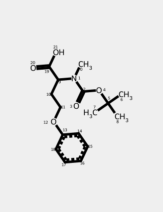 CN(C(=O)OC(C)(C)C)C(CCOc1ccccc1)C(=O)O